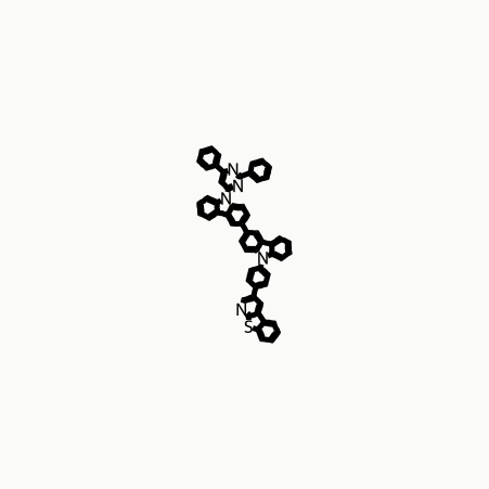 c1ccc(-c2cc(-n3c4ccccc4c4cc(-c5ccc6c(c5)c5ccccc5n6-c5ccc(-c6cnc7sc8ccccc8c7c6)cc5)ccc43)nc(-c3ccccc3)n2)cc1